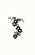 COc1cc2nccc(Oc3ccc4c(NC(=O)c5ccncc5)cccc4c3)c2cc1OC